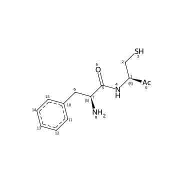 CC(=O)[C@H](CS)NC(=O)[C@@H](N)Cc1ccccc1